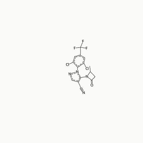 CC1CC(=O)N1c1c(C#N)cnn1-c1c(Cl)cc(C(F)(F)F)cc1Cl